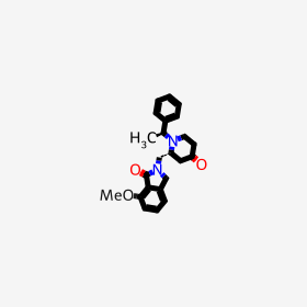 COc1cccc2c1C(=O)N(C[C@H]1CC(=O)CCN1[C@@H](C)c1ccccc1)C2